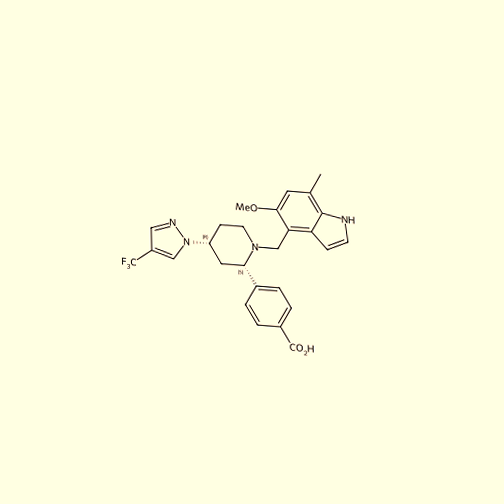 COc1cc(C)c2[nH]ccc2c1CN1CC[C@@H](n2cc(C(F)(F)F)cn2)C[C@H]1c1ccc(C(=O)O)cc1